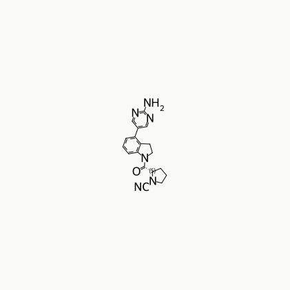 N#CN1CCC[C@H]1C(=O)N1CCc2c(-c3cnc(N)nc3)cccc21